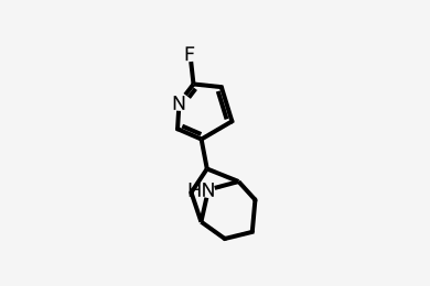 Fc1ccc(C2CC3CCCC2N3)cn1